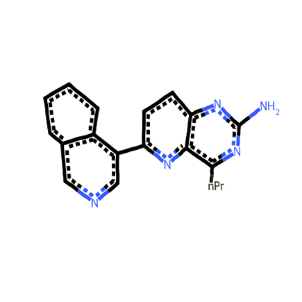 CCCc1nc(N)nc2ccc(-c3cncc4ccccc34)nc12